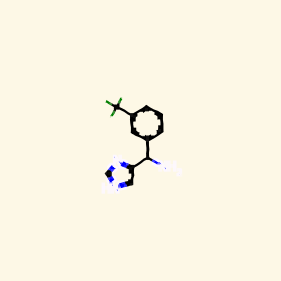 NC(c1cccc(C(F)(F)F)c1)c1c[nH]cn1